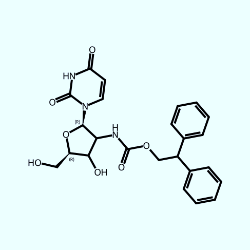 O=C(NC1C(O)[C@@H](CO)O[C@H]1n1ccc(=O)[nH]c1=O)OCC(c1ccccc1)c1ccccc1